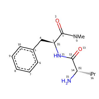 CNC(=O)[C@H](Cc1ccccc1)NC(=O)[C@@H](N)C(C)C